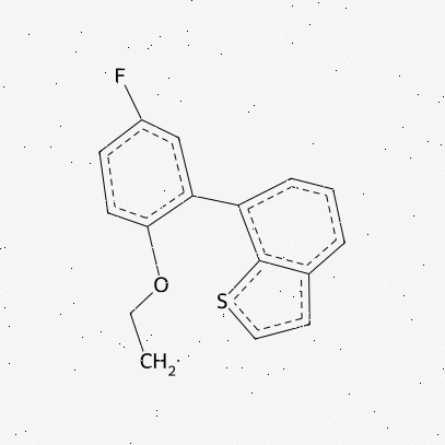 [CH2]COc1ccc(F)cc1-c1cccc2ccsc12